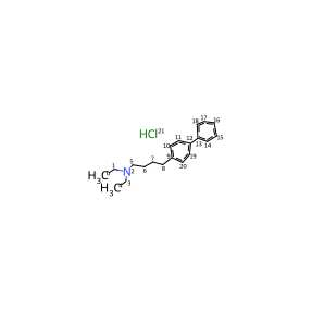 CCN(CC)CCCCc1ccc(-c2ccccc2)cc1.Cl